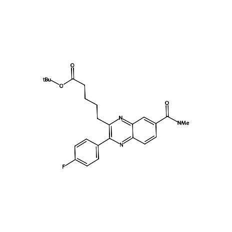 CNC(=O)c1ccc2nc(-c3ccc(F)cc3)c(CCCCC(=O)OC(C)(C)C)nc2c1